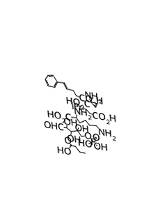 CC(C)CCC(=O)O.CCCC(=O)O.NC1(C(=O)O)CC1.NCCCCC(N)C(=O)O.O=C(O)CCC=Cc1ccccc1.O=CC(O)C(O)C(O)COP(=O)(O)O